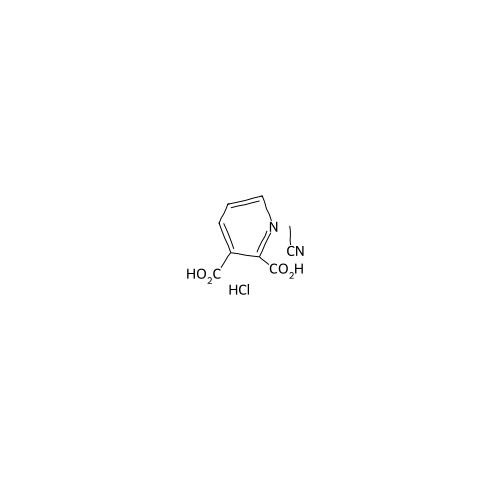 CC#N.Cl.O=C(O)c1cccnc1C(=O)O